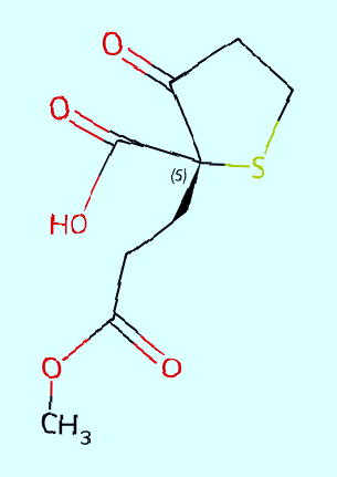 COC(=O)CC[C@]1(C(=O)O)SCCC1=O